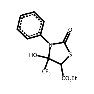 CCOC(=O)C1SC(=O)N(c2ccccc2)C1(O)C(F)(F)F